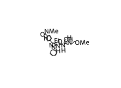 CCc1c(-c2ccc(C(=O)NC)nc2)nn(C2=CC=CC=CC2)c1NC(=O)N[C@@H](CO)CNCCOC